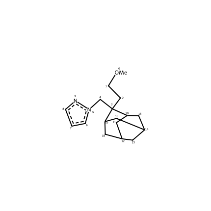 COCCC1(Cn2cccn2)C2CC3CC(C2)CC1C3